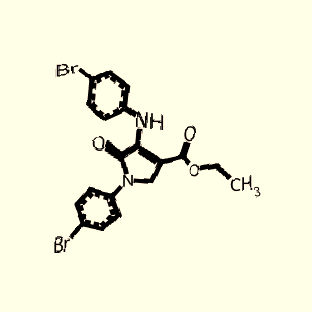 CCOC(=O)C1=C(Nc2ccc(Br)cc2)C(=O)N(c2ccc(Br)cc2)C1